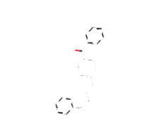 CN(CCCN1CCC(C(=O)c2ccc(F)cc2)CC1)c1ccccc1